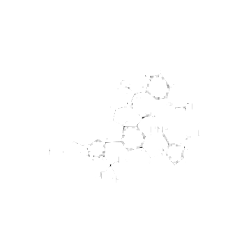 CCn1cc(-c2cc(Cn3ccn(C)c3=N)cc3c2CCN([C@@H](C)c2cc(OC)ccn2)C3=O)c(C(F)(F)F)n1